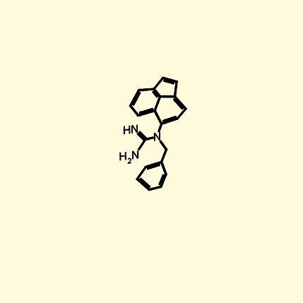 N=C(N)N(Cc1ccccc1)c1ccc2c3c(cccc13)C=C2